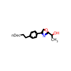 CCCCCCCCCCCCc1ccc(-c2coc(C(C)O)n2)cc1